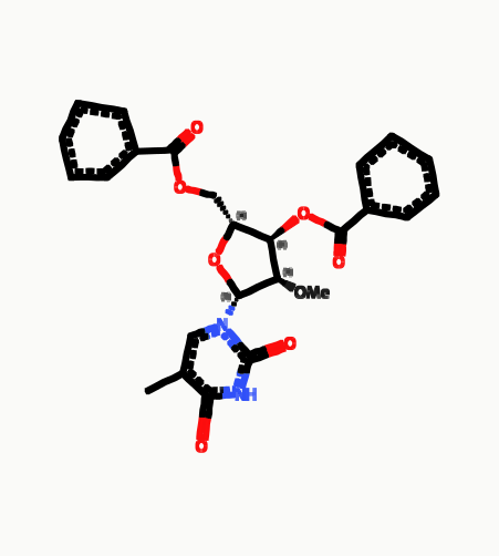 CO[C@@H]1[C@H](OC(=O)c2ccccc2)[C@@H](COC(=O)c2ccccc2)O[C@H]1n1cc(C)c(=O)[nH]c1=O